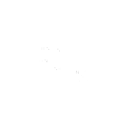 Nc1ncc(C2CCN(S(=O)(=O)C3CC3)CC2)c(N)c1[N+](=O)[O-]